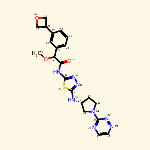 COC(C(=O)Nc1nnc(N[C@@H]2CCN(c3nccnn3)C2)s1)c1cccc(C2COC2)c1